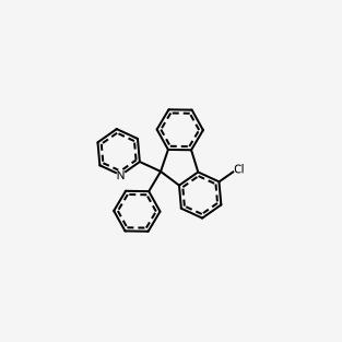 Clc1cccc2c1-c1ccccc1C2(c1ccccc1)c1ccccn1